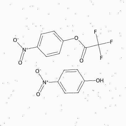 O=C(Oc1ccc([N+](=O)[O-])cc1)C(F)(F)F.O=[N+]([O-])c1ccc(O)cc1